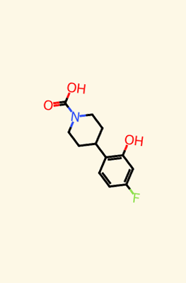 O=C(O)N1CCC(c2ccc(F)cc2O)CC1